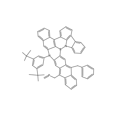 C=PCc1c2ccccc2c(Cc2ccccc2)c2cc3c(cc12)N(c1cc(C(C)(C)C)cc(C(C)(C)C)c1)c1cc2ccccc2c2c1B3n1c3ccccc3c3cccc-2c31